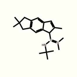 CC1=Cc2cc3c(cc2[CH]1[Ti]([NH]C(C)(C)C)=[Si](C)C)CC(C)(C)C3